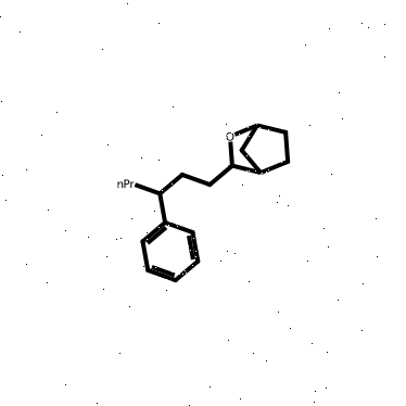 [CH2]CCC(CC[C]1OC2CCC1C2)c1ccccc1